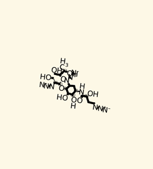 C[C@H](O)C(CO)O[C@H](O[C@@H]1C(N=[N+]=[N-])C[C@@H](NC(=O)[C@@H](O)CCN=[N+]=[N-])[C@@H](O)C1O)[C@@H](CO)N=[N+]=[N-]